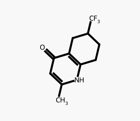 Cc1cc(=O)c2c([nH]1)CCC(C(F)(F)F)C2